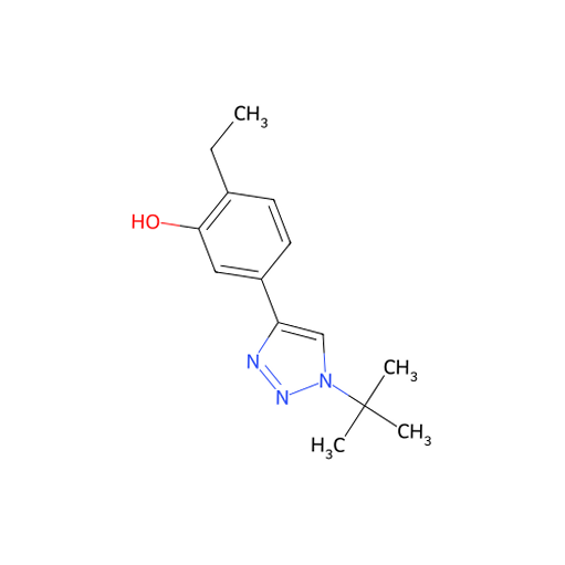 CCc1ccc(-c2cn(C(C)(C)C)nn2)cc1O